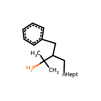 CCCCCCCCC(Cc1ccccc1)C(C)(C)P